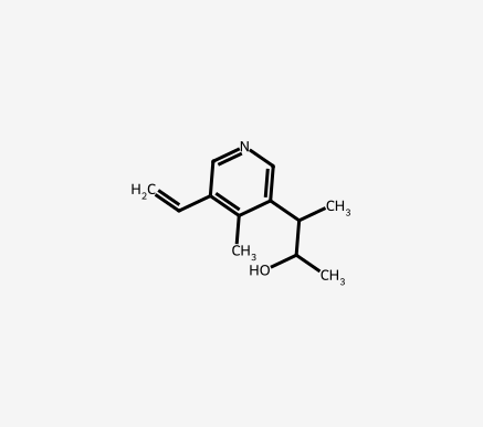 C=Cc1cncc(C(C)C(C)O)c1C